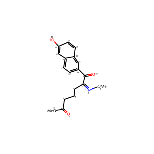 CO/N=C(/CCCC(=O)OC)C(=O)c1ccc2cc(O)ccc2c1